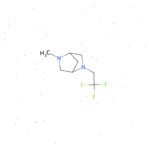 CN1CC2CC1CN2CC(F)(F)F